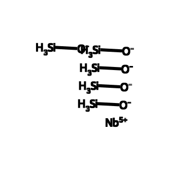 [Nb+5].[O-][SiH3].[O-][SiH3].[O-][SiH3].[O-][SiH3].[O-][SiH3]